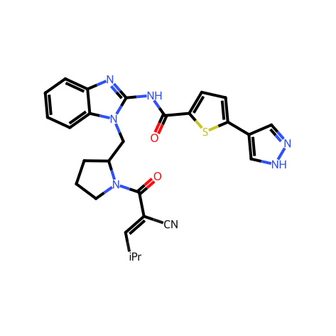 CC(C)C=C(C#N)C(=O)N1CCCC1Cn1c(NC(=O)c2ccc(-c3cn[nH]c3)s2)nc2ccccc21